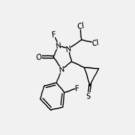 O=C1N(c2ccccc2F)C(C2CC2=S)N(C(Cl)Cl)N1F